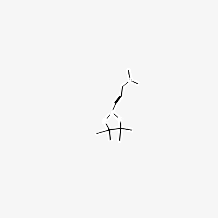 CN(C)CC=CB1OC(C)(C)C(C)(C)O1